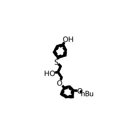 CCCCOc1cccc(OCC(O)CSc2ccc(O)cc2)c1